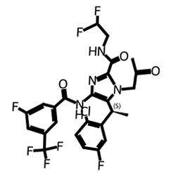 CC(=O)Cn1c(C(=O)NCC(F)F)nc(NC(=O)c2cc(F)cc(C(F)(F)F)c2)c1[C@@H](C)c1cc(F)ccc1Cl